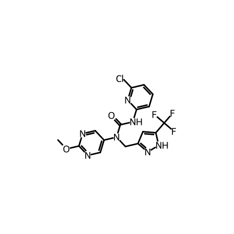 COc1ncc(N(Cc2cc(C(F)(F)F)[nH]n2)C(=O)Nc2cccc(Cl)n2)cn1